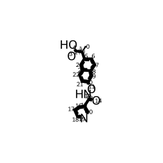 C[C@H](C(=O)O)c1ccc2cc(ONC(=O)c3cccnc3)ccc2c1